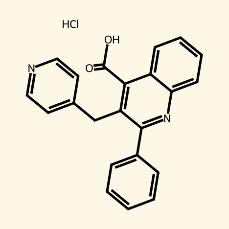 Cl.O=C(O)c1c(Cc2ccncc2)c(-c2ccccc2)nc2ccccc12